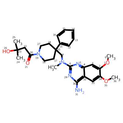 COc1cc2nc(N(C)CC3(c4ccccc4)CCN(C(=O)CC(C)(C)O)CC3)nc(N)c2cc1OC